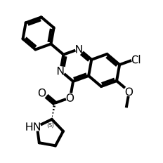 COc1cc2c(OC(=O)[C@@H]3CCCN3)nc(-c3ccccc3)nc2cc1Cl